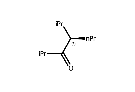 CCC[C@@H](C(=O)C(C)C)C(C)C